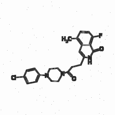 Cc1ccc(F)c2c(=O)[nH]c(CCC(=O)N3CCN(c4ccc(Cl)cc4)CC3)cc12